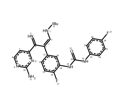 CC(C)(C)N/C=C(\C(=N)c1ccnc(N)n1)c1ccc(F)c(NC(=O)Nc2ccc(F)cc2)c1